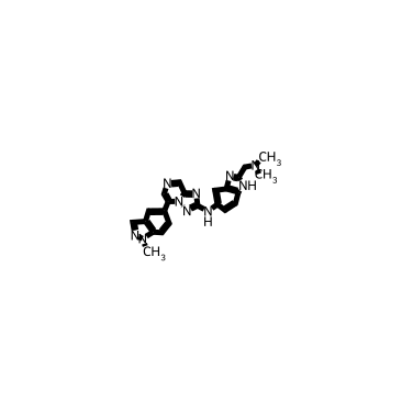 CN(C)Cc1nc2cc(Nc3nc4cncc(-c5ccc6c(cnn6C)c5)n4n3)ccc2[nH]1